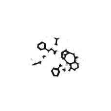 [2H]C([2H])([2H])C(C)(C)OC(=O)N[C@@H](c1ccccc1)[C@@H](OC(=O)C(C)N)C(=O)O[C@H]1C[C@@]2(O)[C@@H](OC(=O)c3ccccc3)[C@@H]3[C@]4(OC(C)=O)CO[C@@H]4C[C@H](O)[C@@]3(C)C(=O)[C@H](O)C(=C1C)C2(C)C